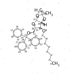 CCCCCCCCO[C@H]1[C@@H](COC(c2ccccc2)(c2ccccc2)c2ccccc2)OC2OC(C)(C)O[C@@H]21